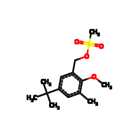 COc1c(C)cc(C(C)(C)C)cc1COS(C)(=O)=O